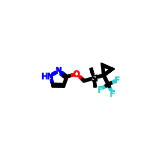 C[Si](C)(COc1cc[nH]n1)C1(C(F)(F)F)CC1